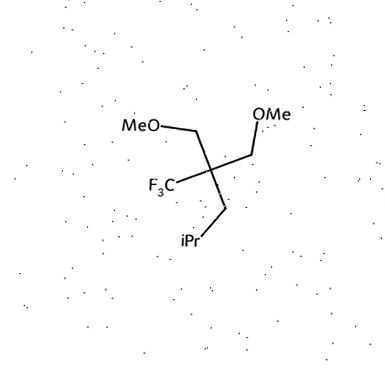 COCC(COC)(CC(C)C)C(F)(F)F